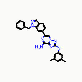 Cc1cc(C)cc(Nc2nc3c(N)nc(-c4ccc5cnn(Cc6ccccc6)c5c4)cn3n2)c1